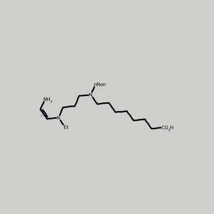 CCCCCCCCCN(CCCCCCCC(=O)O)CCCN(/C=C\N)CC